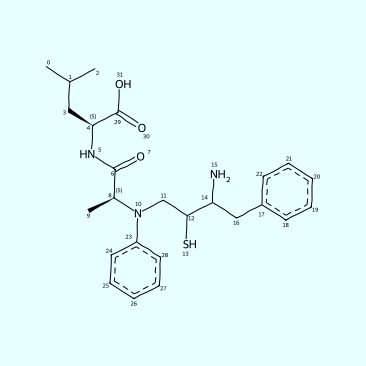 CC(C)C[C@H](NC(=O)[C@H](C)N(CC(S)C(N)Cc1ccccc1)c1ccccc1)C(=O)O